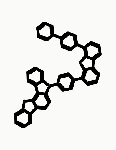 c1ccc(-c2ccc(-c3cccc4c3sc3c(-c5ccc(-n6c7ccccc7c7c8oc9ccccc9c8ccc76)cc5)cccc34)cc2)cc1